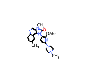 COc1nc(N2CCN(C)CC2)ccc1-n1c(=O)n(C)c2cnc3ccc(C)cc3c21